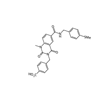 CSc1ccc(CNC(=O)c2ccc3c(c2)c(=O)n(Cc2ccc(C(=O)O)cc2)c(=O)n3C)cc1